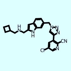 N#Cc1ncc(Cl)cc1-c1cn(Cc2ccc3cc(CNCC4CCC4)[nH]c3c2)nn1